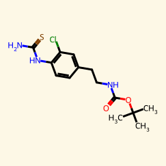 CC(C)(C)OC(=O)NCCc1ccc(NC(N)=S)c(Cl)c1